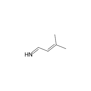 CC(C)=CC=N